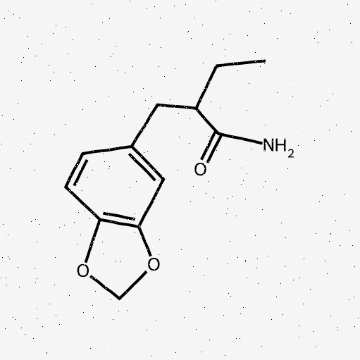 CCC(Cc1ccc2c(c1)OCO2)C(N)=O